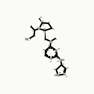 CC(CC#N)N1[C@H](CN(C)c2ccnc(NC3C=NNC3)n2)CC[C@@H]1C